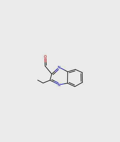 CCc1nc2ccccc2nc1C=O